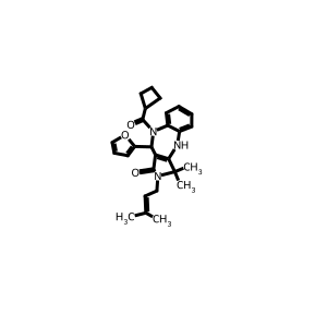 CC(C)=CCN1C(=O)C2=C(Nc3ccccc3N(C(=O)C3CCC3)C2c2ccco2)C1(C)C